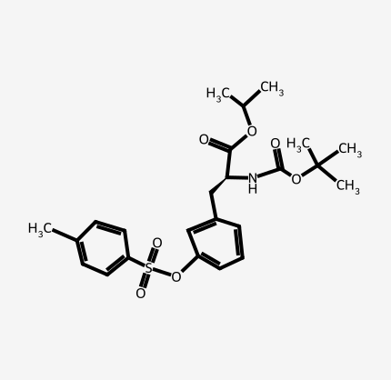 Cc1ccc(S(=O)(=O)Oc2cccc(C[C@H](NC(=O)OC(C)(C)C)C(=O)OC(C)C)c2)cc1